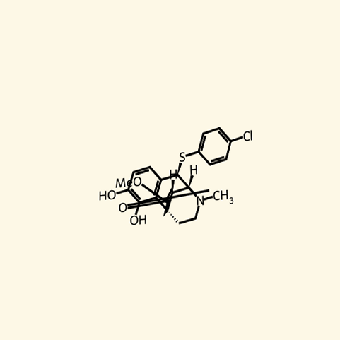 COC1=C[C@@H]2[C@@H]3[C@H](Sc4ccc(Cl)cc4)c4ccc(O)c(O)c4[C@]2(CCN3C)CC1=O